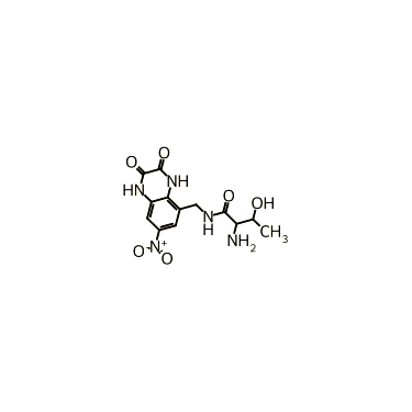 CC(O)C(N)C(=O)NCc1cc([N+](=O)[O-])cc2[nH]c(=O)c(=O)[nH]c12